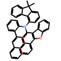 CC1(C)c2ccccc2-c2c(N(c3ccccc3-c3ccc4ccccc4c3)c3cc4ccccc4c4oc5ccccc5c34)cccc21